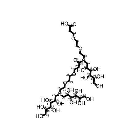 O=C(O)CCOCCOCCN(C[C@H](O)[C@@H](O)[C@H](O)[C@H](O)CO)C(=O)CCOCCOCCN(C[C@H](O)[C@@H](O)[C@H](O)[C@H](O)CO)C[C@H](O)[C@@H](O)[C@H](O)[C@H](O)CO